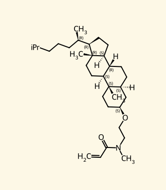 C=CC(=O)N(C)CCO[C@H]1CC[C@@]2(C)[C@@H](CC[C@@H]3[C@@H]2CC[C@]2(C)[C@@H]([C@H](C)CCCC(C)C)CC[C@@H]32)C1